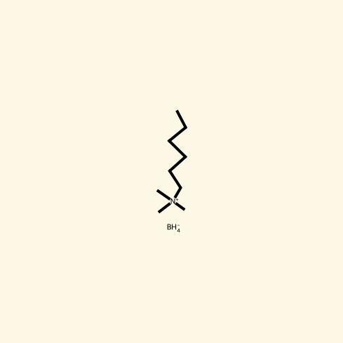 CCCCCC[N+](C)(C)C.[BH4-]